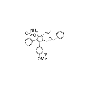 CC=Cn1nc(-c2ccccc2S(N)(=O)=O)c(-c2ccc(OC)c(F)c2)c1COCc1ccccc1